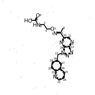 CC(=NOCCNC(=O)O)c1cnc2nnn(Cc3ccc4ncccc4c3)c2n1